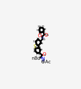 CCCC/C(=N\OC(C)=O)C(=O)c1ccc2sc3ccc(/C=C4\Oc5ccccc5C4=O)cc3c2c1